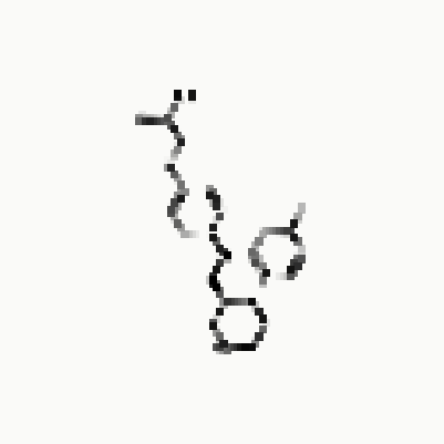 O=C(O)COc1ccc(OC[C@@H]2CNCC[C@H]2c2ccc(F)cc2)cc1